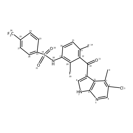 Cc1c(Cl)cnc2[nH]cc(C(=O)c3c(F)ccc(NS(=O)(=O)c4ccc(C(F)(F)F)cc4)c3F)c12